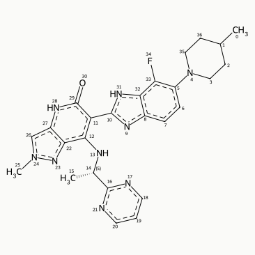 CC1CCN(c2ccc3nc(-c4c(N[C@@H](C)c5ncccn5)c5nn(C)cc5[nH]c4=O)[nH]c3c2F)CC1